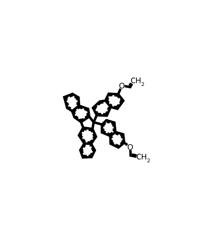 C=COc1ccc2cc(C3(c4ccc5cc(OC=C)ccc5c4)c4cc5ccccc5cc4-c4cc5ccccc5cc43)ccc2c1